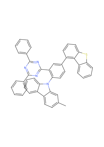 Cc1ccc2c3ccccc3n(-c3ccc(-c4cccc5sc6ccccc6c45)cc3-c3nc(-c4ccccc4)nc(-c4ccccc4)n3)c2c1